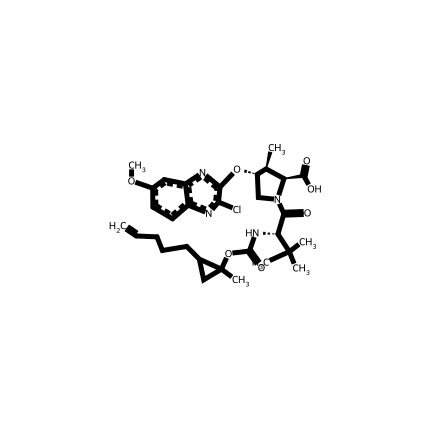 C=CCCCC1CC1(C)OC(=O)N[C@H](C(=O)N1C[C@H](Oc2nc3cc(OC)ccc3nc2Cl)[C@@H](C)[C@H]1C(=O)O)C(C)(C)C